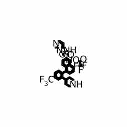 O=C(O)C(F)(F)F.O=S(=O)(Nc1ccncn1)c1ccc2c(-c3ccc(C(F)(F)F)cc3C3=CCNCC3)cccc2c1